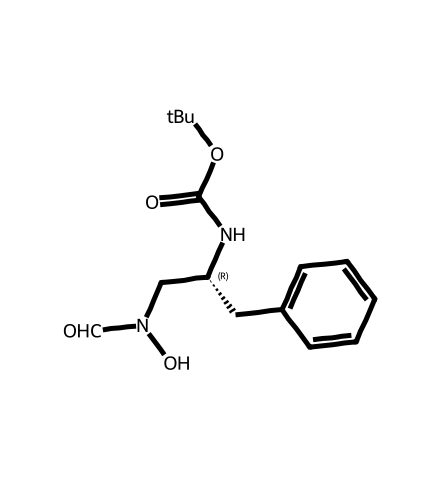 CC(C)(C)OC(=O)N[C@H](Cc1ccccc1)CN(O)C=O